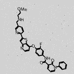 COCCNCc1ccc(-c2cc3nccc(Oc4ccc(NC(=O)c5cccn(-c6ccccc6)c5=O)cc4F)c3s2)nc1